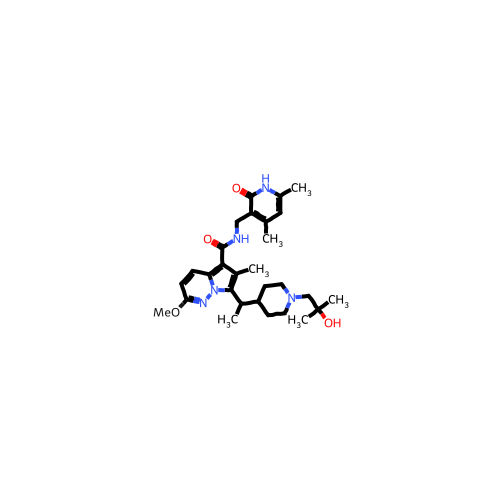 COc1ccc2c(C(=O)NCc3c(C)cc(C)[nH]c3=O)c(C)c(C(C)C3CCN(CC(C)(C)O)CC3)n2n1